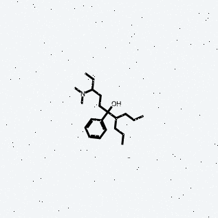 CCCC(CCC)C(O)(CCC(CC)N(C)C)c1ccccc1